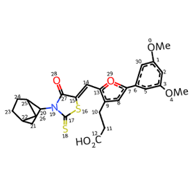 COc1cc(OC)cc(-c2cc(CCC(=O)O)c(C=C3SC(=S)N(C4CC5CCC4C5)C3=O)o2)c1